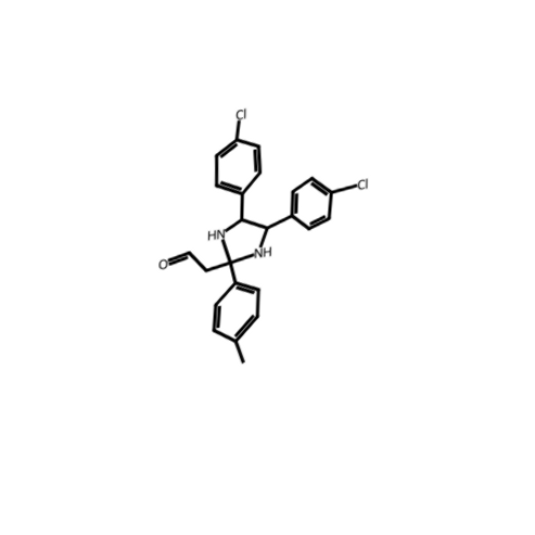 Cc1ccc(C2(CC=O)NC(c3ccc(Cl)cc3)C(c3ccc(Cl)cc3)N2)cc1